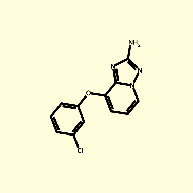 Nc1nc2c(Oc3cccc(Cl)c3)cccn2n1